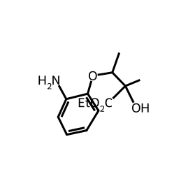 CCOC(=O)C(C)(O)C(C)Oc1ccccc1N